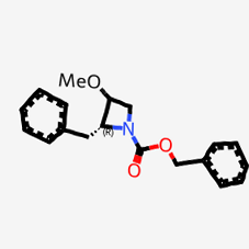 COC1CN(C(=O)OCc2ccccc2)[C@@H]1Cc1ccccc1